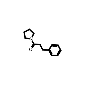 O=C(CCc1ccccc1)N1CCCC1